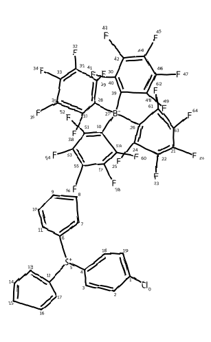 Clc1ccc([S+](c2ccccc2)c2ccccc2)cc1.Fc1c(F)c(F)c([B-](c2c(F)c(F)c(F)c(F)c2F)(c2c(F)c(F)c(F)c(F)c2F)c2c(F)c(F)c(F)c(F)c2F)c(F)c1F